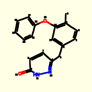 Cc1ccc(Cc2ccc(=O)[nH]n2)cc1Oc1ccccc1